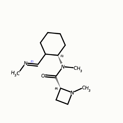 C/N=C/C1CCCC[C@@H]1N(C)C(=O)[C@H]1CCN1C